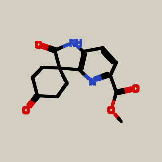 COC(=O)c1ccc2c(n1)C1(CCC(=O)CC1)C(=O)N2